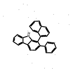 c1ccc(-c2ccc3c([nH]c4ccccc43)c2-c2cccc3ccccc23)cc1